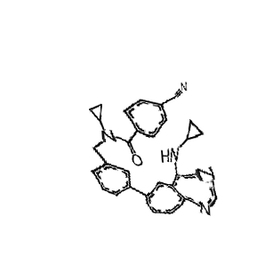 N#Cc1ccc(C(=O)N(Cc2cccc(-c3ccc4ncnc(NC5CC5)c4c3)c2)C2CC2)cc1